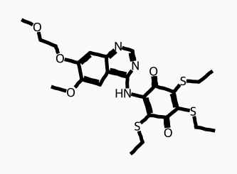 CCSC1=C(Nc2ncnc3cc(OCCOC)c(OC)cc23)C(=O)C(SCC)=C(SCC)C1=O